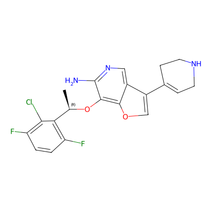 C[C@@H](Oc1c(N)ncc2c(C3=CCNCC3)coc12)c1c(F)ccc(F)c1Cl